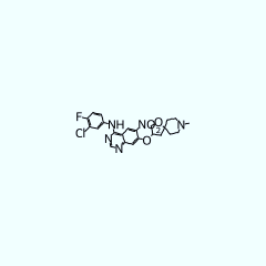 CN1CCC2(CC1)CC(Oc1cc3ncnc(Nc4ccc(F)c(Cl)c4)c3cc1[N+](=O)[O-])CO2